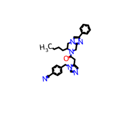 CCCCC1Cn2cc(-c3ccccc3)nc2CN1C(=O)Cc1cncn1Cc1ccc(C#N)cc1